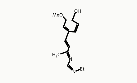 CC\N=C/N=C(C)/C=C/C(/C=C\CO)=C/COC